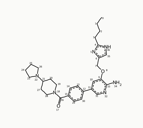 CCCCc1nc(COc2cc(-c3ccc(C(=O)N4CCC(N5CCCC5)CC4)cc3)cnc2N)c[nH]1